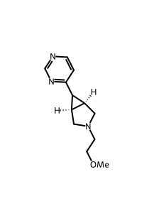 COCCN1C[C@@H]2C(c3ccncn3)[C@@H]2C1